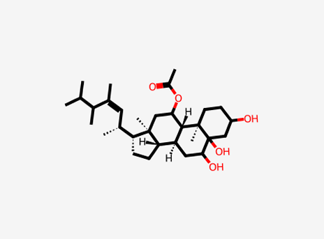 CC(=O)OC1C[C@]2(C)[C@@H]([C@H](C)C=C(C)C(C)C(C)C)CC[C@H]2[C@@H]2CC(O)C3(O)CC(O)CC[C@]3(C)[C@@H]12